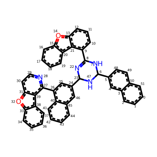 c1ccc2cc(C3NC(c4cccc5oc6ccccc6c45)=NC(c4cc(-c5nccc6oc7ccccc7c56)c5ccccc5c4)N3)ccc2c1